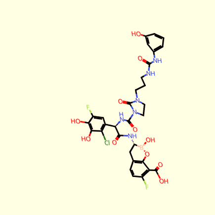 O=C(NCCCN1CCN(C(=O)N[C@@H](C(=O)N[C@H]2Cc3ccc(F)c(C(=O)O)c3OB2O)c2cc(F)c(O)c(O)c2Cl)C1=O)Nc1cccc(O)c1